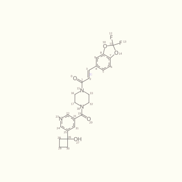 O=C(/C=C/c1ccc2c(c1)OC(F)(F)O2)N1CCN(C(=O)c2cncc(C3(O)CCC3)c2)CC1